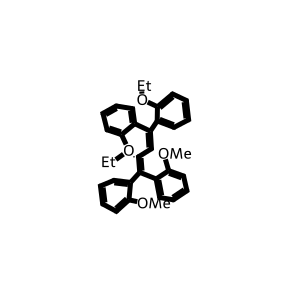 CCOc1ccccc1C(=C[C]=C(c1ccccc1OC)c1ccccc1OC)c1ccccc1OCC